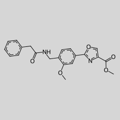 COC(=O)c1coc(-c2ccc(CNC(=O)Cc3ccccc3)c(OC)c2)n1